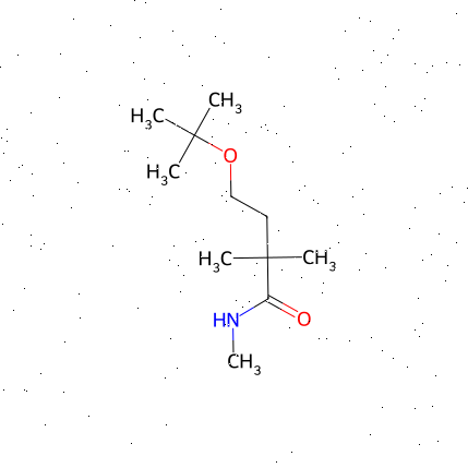 CNC(=O)C(C)(C)CCOC(C)(C)C